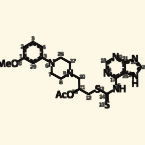 COc1cccc(N2CCN(CC(CSC(=S)Nc3ncnc4nc[nH]c34)OC(C)=O)CC2)c1